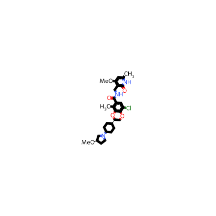 COc1cc(C)[nH]c(=O)c1CNC(=O)c1cc(Cl)c2c(c1C)O[C@@H](C1CCC(N3CC[C@H](OC)C3)CC1)CO2